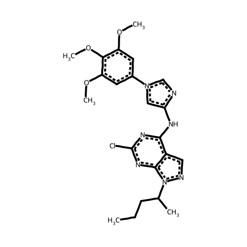 CCCC(C)n1ncc2c(Nc3cn(-c4cc(OC)c(OC)c(OC)c4)cn3)nc(Cl)nc21